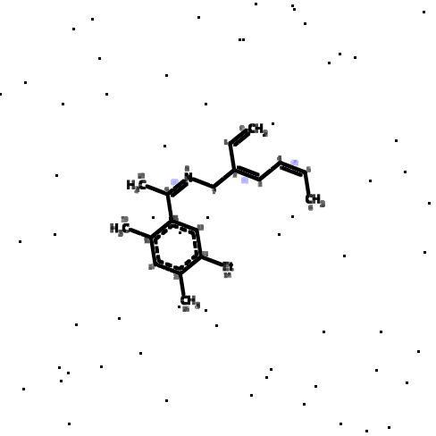 C=C/C(=C\C=C/C)C/N=C(/C)c1cc(CC)c(C)cc1C